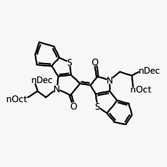 CCCCCCCCCCC(CCCCCCCC)CN1C(=O)C(=C2C(=O)N(CC(CCCCCCCC)CCCCCCCCCC)c3c2sc2ccccc32)c2sc3ccccc3c21